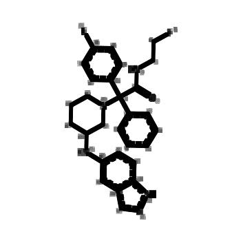 O=C(NCCF)C(c1ccccc1)(c1ccc(F)cc1)N1CCCC(Nc2ccc3[nH]ncc3c2)C1